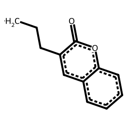 [CH2]CCc1cc2ccccc2oc1=O